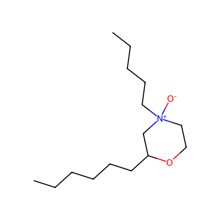 CCCCCCC1C[N+]([O-])(CCCCC)CCO1